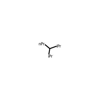 [CH2]CCC(C(C)C)C(C)C